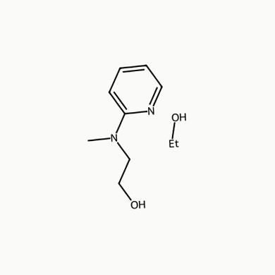 CCO.CN(CCO)c1ccccn1